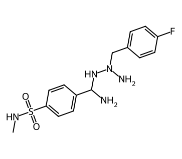 CNS(=O)(=O)c1ccc(C(N)NN(N)Cc2ccc(F)cc2)cc1